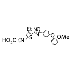 CCc1cc(CN2CC(C(=O)O)C2)sc1-c1noc(-c2ccc(Oc3ccccc3OC)cc2)n1